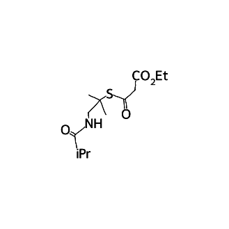 CCOC(=O)CC(=O)SC(C)(C)CNC(=O)C(C)C